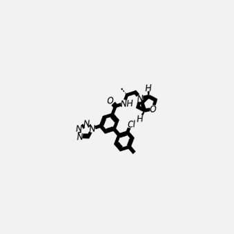 Cc1ccc(-c2cc(C(=O)N[C@H](C)CN3C[C@@H]4C[C@H]3CO4)cc(-n3cnnn3)c2)c(Cl)c1